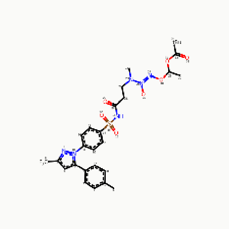 Cc1ccc(-c2cc(C(F)(F)F)nn2-c2ccc(S(=O)(=O)NC(=O)CCN(C)[N+]([O-])=NOC(C)OC(=O)C(C)(C)C)cc2)cc1